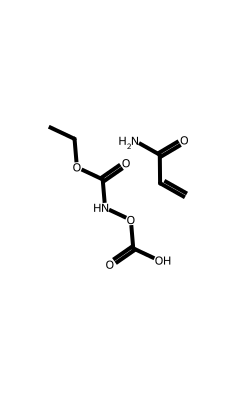 C=CC(N)=O.CCOC(=O)NOC(=O)O